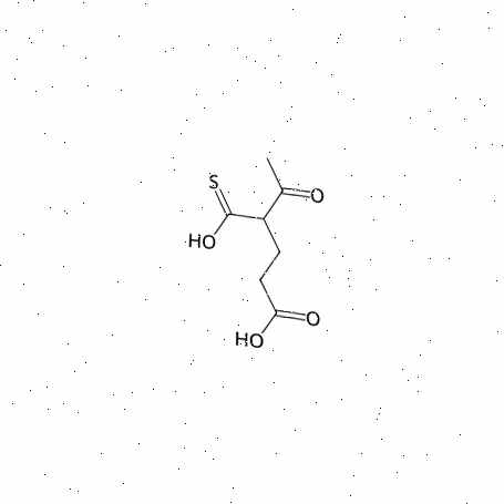 CC(=O)C(CCC(=O)O)C(O)=S